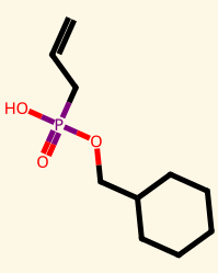 C=CCP(=O)(O)OCC1CCCCC1